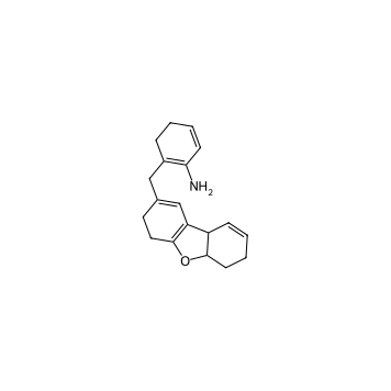 NC1=C(CC2=CC3=C(CC2)OC2CCC=CC32)CCC=C1